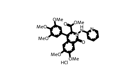 COC(=O)c1c(-c2cc(OC)c(OC)c(OC)c2)c2cc(OC)c(OC)cc2c(=O)n1Nc1ccccn1.Cl